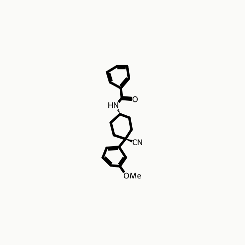 COc1cccc([C@]2(C#N)CC[C@H](NC(=O)c3ccccc3)CC2)c1